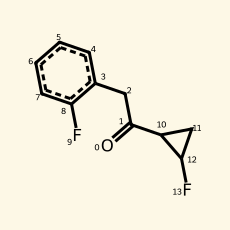 O=C(Cc1ccccc1F)C1CC1F